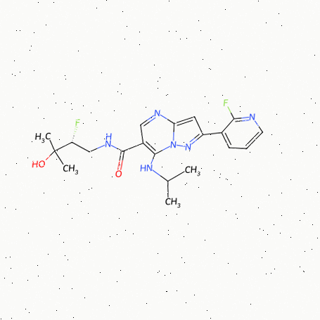 CC(C)Nc1c(C(=O)NC[C@@H](F)C(C)(C)O)cnc2cc(-c3cccnc3F)nn12